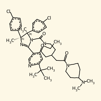 CCOc1cc(C(C)(C)C)ncc1C1=N[C@@](C)(c2ccc(Cl)cc2)[C@@](C)(c2ccc(Cl)cc2)N1C(=O)N1CCC(CC(=O)N2CCC(N(C)C)CC2)CC1